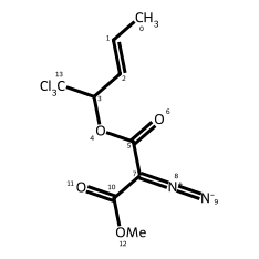 CC=CC(OC(=O)C(=[N+]=[N-])C(=O)OC)C(Cl)(Cl)Cl